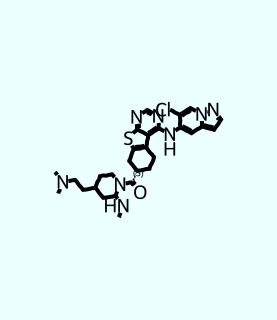 CNC1CC(CCN(C)C)CCN1C(=O)[C@H]1CCc2c(sc3ncnc(Nc4cc5ccnn5cc4Cl)c23)C1